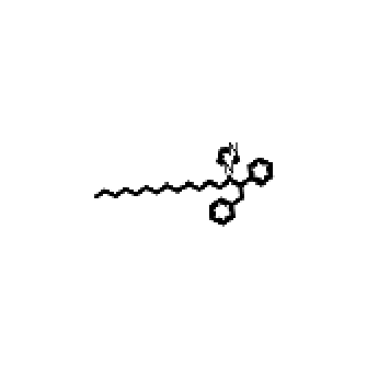 CCCCCCCCCCCCCC(C(Cc1ccccc1)c1ccccc1)n1ccnc1